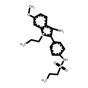 CCCn1c(-c2ccc(NS(=O)(=O)CCC)cc2)c(N)c2ccc(OC)cc21